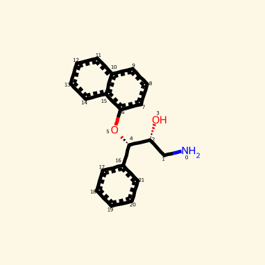 NC[C@@H](O)[C@@H](Oc1cccc2ccccc12)c1ccccc1